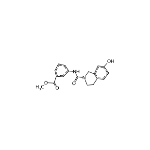 COC(=O)c1cccc(NC(=O)N2CCc3ccc(O)cc3C2)c1